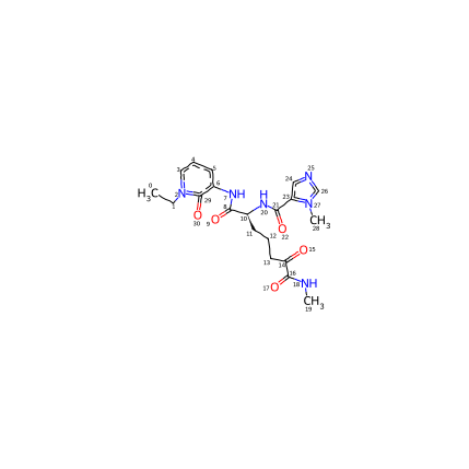 CCn1cccc(NC(=O)[C@H](CCCC(=O)C(=O)NC)NC(=O)c2cncn2C)c1=O